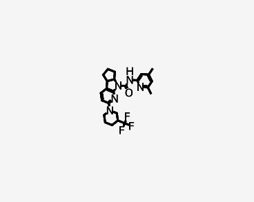 Cc1cc(C)nc(NC(=O)N2c3nc(N4CCCC(C(F)(F)F)C4)ccc3C3CCCC32)c1